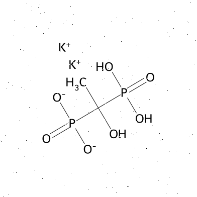 CC(O)(P(=O)([O-])[O-])P(=O)(O)O.[K+].[K+]